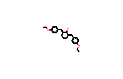 CCOc1ccc(C=C2CCCC(=Cc3ccc(OCC)cc3)C2=O)cc1